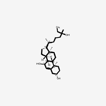 C[C@H](CCCC(C)(O)CO)[C@H]1CC[C@H]2[C@@H]3[C@H](O)C=C4C[C@@H](O)CC[C@]4(C)[C@H]3CC[C@]12C